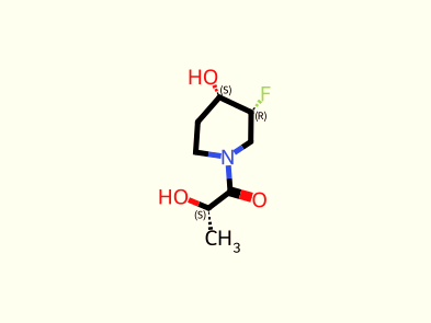 C[C@H](O)C(=O)N1CC[C@H](O)[C@H](F)C1